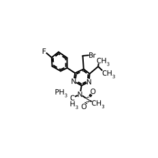 CC(C)c1nc(N(C)S(C)(=O)=O)nc(-c2ccc(F)cc2)c1CBr.P